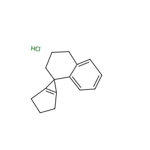 Cl.c1ccc2c(c1)CCCC21C2=C1CCC2